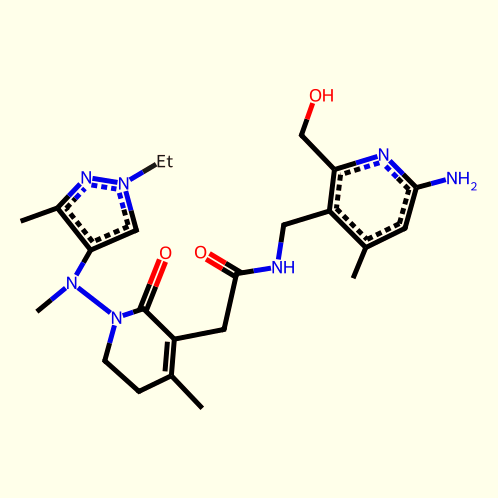 CCn1cc(N(C)N2CCC(C)=C(CC(=O)NCc3c(C)cc(N)nc3CO)C2=O)c(C)n1